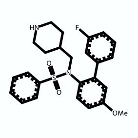 COc1ccc(N(CC2CCNCC2)S(=O)(=O)c2ccccc2)c(-c2cccc(F)c2)c1